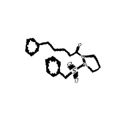 O=C(CCCCc1ccccc1)N1CCCN1S(=O)(=O)Cc1ccccc1